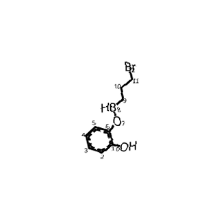 Oc1ccccc1OBCCCBr